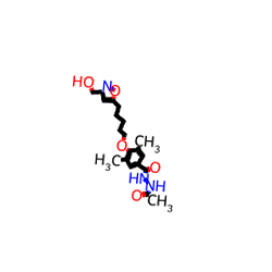 CC(=O)NNC(=O)c1cc(C)c(OCCCCCc2cc(CO)no2)c(C)c1